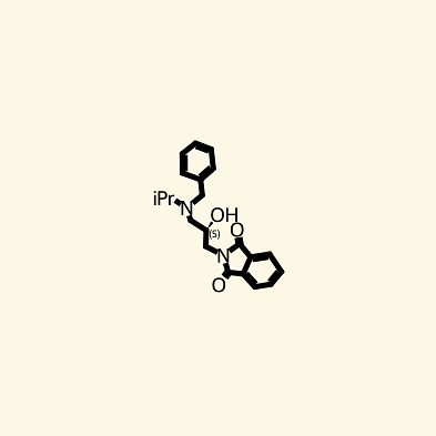 CC(C)N(Cc1ccccc1)C[C@H](O)CN1C(=O)c2ccccc2C1=O